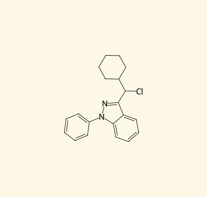 ClC(c1nn(-c2ccccc2)c2ccccc12)C1CCCCC1